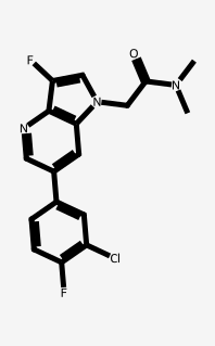 CN(C)C(=O)Cn1cc(F)c2ncc(-c3ccc(F)c(Cl)c3)cc21